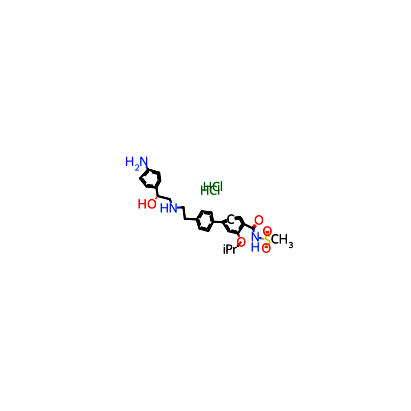 CC(C)Oc1cc(-c2ccc(CCNC[C@H](O)c3ccc(N)cc3)cc2)ccc1C(=O)NS(C)(=O)=O.Cl.Cl